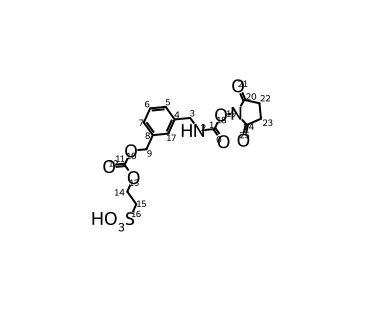 O=C(NCc1cccc(COC(=O)OCCS(=O)(=O)O)c1)ON1C(=O)CCC1=O